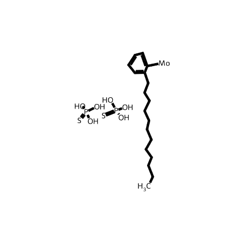 CCCCCCCCCCCCc1cccc[c]1[Mo].OP(O)(O)=S.OP(O)(O)=S